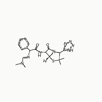 CN(C)/C=N/C(C(=O)NC1C(=O)N2C(c3nnn[nH]3)C(C)(C)S[C@H]12)c1ccccc1